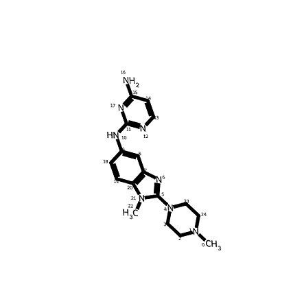 CN1CCN(c2nc3cc(Nc4nccc(N)n4)ccc3n2C)CC1